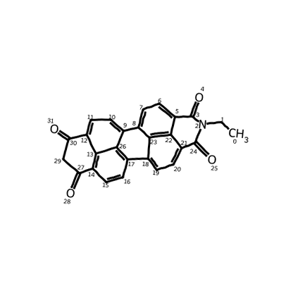 CCN1C(=O)c2ccc3c4ccc5c6c(ccc(c7ccc(c2c37)C1=O)c64)C(=O)CC5=O